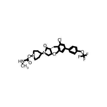 CNC(=O)ON1CCC(N2CC[C@@H](Cc3c(Cl)cc(-c4ccc(OC(F)(F)F)cc4)cc3Cl)C2=O)CC1